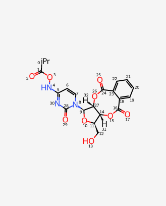 CC(C)C(=O)ONc1ccn([C@@H]2O[C@H](CO)[C@H]3OC(=O)c4ccccc4C(=O)O[C@H]32)c(=O)n1